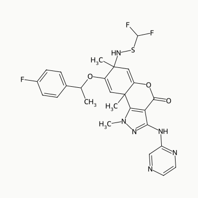 CC(OC1=CC2(C)C(=CC1(C)NSC(F)F)OC(=O)c1c(Nc3cnccn3)nn(C)c12)c1ccc(F)cc1